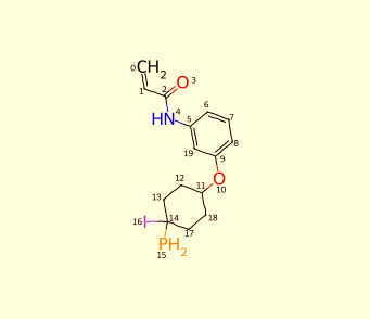 C=CC(=O)Nc1cccc(OC2CCC(P)(I)CC2)c1